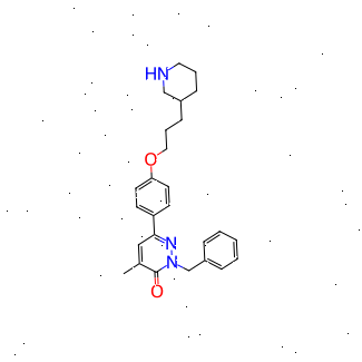 Cc1cc(-c2ccc(OCCCC3CCCNC3)cc2)nn(Cc2ccccc2)c1=O